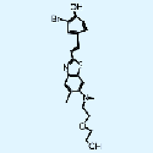 Cc1cc2nc(/C=C/c3ccc(O)c(Br)c3)sc2cc1N(C)CCOCCO